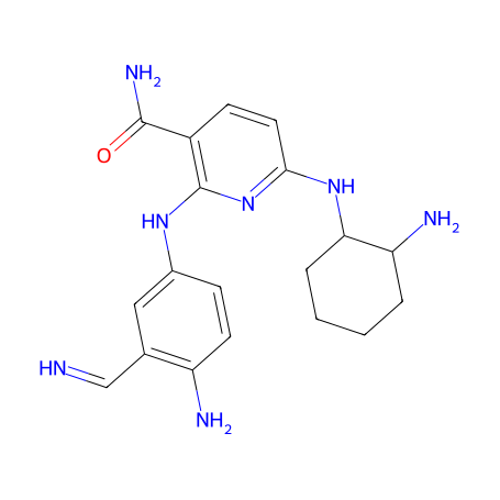 N=Cc1cc(Nc2nc(NC3CCCCC3N)ccc2C(N)=O)ccc1N